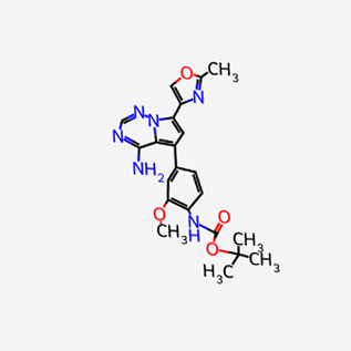 COc1cc(-c2cc(-c3coc(C)n3)n3ncnc(N)c23)ccc1NC(=O)OC(C)(C)C